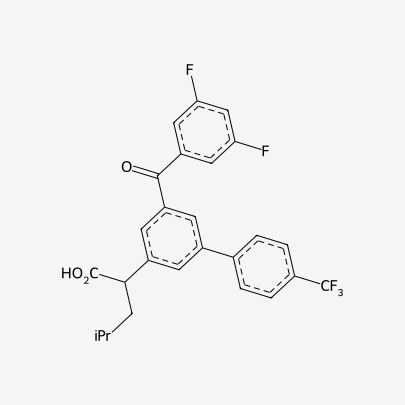 CC(C)CC(C(=O)O)c1cc(C(=O)c2cc(F)cc(F)c2)cc(-c2ccc(C(F)(F)F)cc2)c1